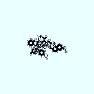 COc1ccc(S(=O)(=O)N(CC(C)C)C[C@@H](O)[C@H](Cc2ccccc2)NC(=O)[C@H](C(C)C)N2CC(=O)N(Cc3ccc4cc(OC)ccc4n3)C2=O)cc1